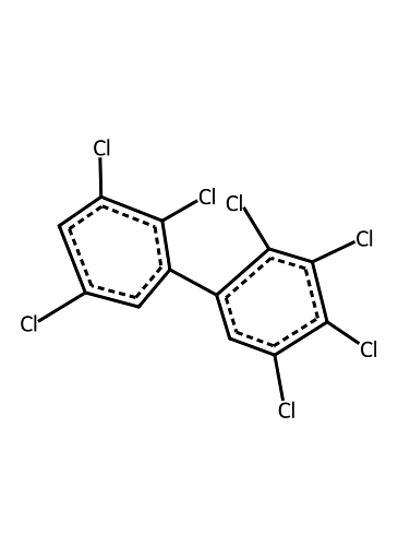 Clc1cc(Cl)c(Cl)c(-c2cc(Cl)c(Cl)c(Cl)c2Cl)c1